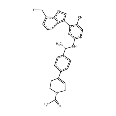 C[C@H](Nc1ncc(C#N)c(-c2cnc3c(CF)cccn23)n1)c1ccc(C2=CCN(C(=O)C(F)(F)F)CC2)cc1